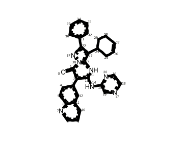 O=c1c(-c2ccc3ncccc3c2)c(Nc2cnccn2)[nH]c2c(C3CC=CCC3)c(-c3ccccc3)nn12